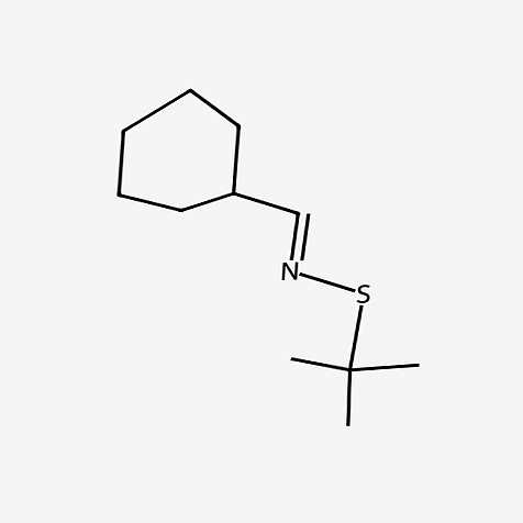 CC(C)(C)S/N=C/C1CCCCC1